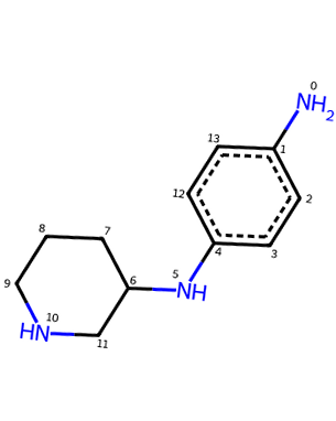 Nc1ccc(NC2CCCNC2)cc1